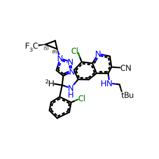 [2H]C(Nc1cc(Cl)c2ncc(C#N)c(NCC(C)(C)C)c2c1)(c1cn([C@@H]2C[C@@H]2C(F)(F)F)nn1)c1ccccc1Cl